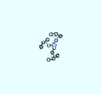 c1cc(-c2ccc3nc(-c4ccc(-n5c6ccccc6c6ccc7c8ccccc8sc7c65)cc4)nc(-c4cccc(-n5c6ccccc6c6ccc7c8ccccc8sc7c65)c4)c3c2)cc(-n2c3ccccc3c3ccc4c5ccccc5sc4c32)c1